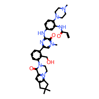 C=CC(=O)Nc1cc(Nc2nc(-c3cccc(N4CCn5c(cc6c5CC(C)(C)C6)C4=O)c3CO)cn(C)c2=O)ccc1N1CCN(C)CC1